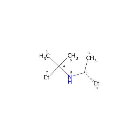 CC[C@@H](C)NC(C)(C)CC